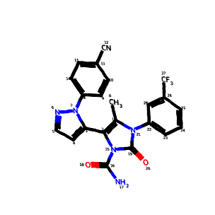 Cc1c(-c2ccnn2-c2ccc(C#N)cc2)n(C(N)=O)c(=O)n1-c1cccc(C(F)(F)F)c1